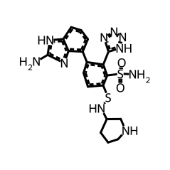 Nc1nc2c(-c3ccc(SNC4CCCNC4)c(S(N)(=O)=O)c3-c3nnn[nH]3)cccc2[nH]1